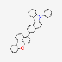 c1ccc(-n2c3ccccc3c3c4ccc(-c5ccc6c7c(cccc57)-c5ccccc5O6)cc4ccc32)cc1